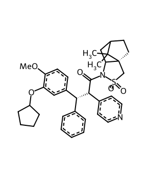 COc1ccc([C@@H](c2ccccc2)C(C(=O)N2C3CC4CC[C@@]3(CS2(=O)=O)C4(C)C)c2ccncc2)cc1OC1CCCC1